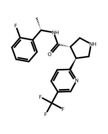 C[C@H](NC(=O)[C@@H]1CNC[C@H]1c1ccc(C(F)(F)F)cn1)c1ccccc1F